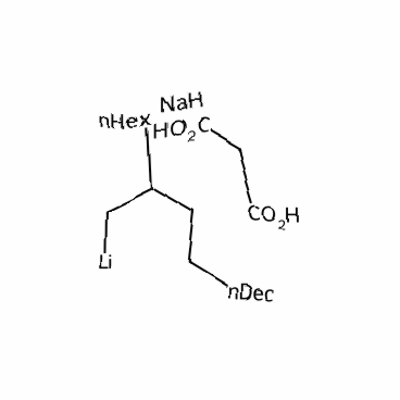 O=C(O)CC(=O)O.[Li][CH2]C(CCCCCC)CCCCCCCCCCCC.[NaH]